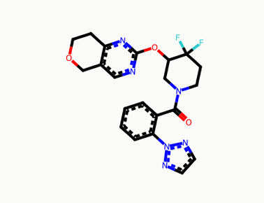 O=C(c1ccccc1-n1nccn1)N1CCC(F)(F)C(Oc2ncc3c(n2)CCOC3)C1